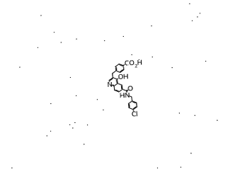 O=C(O)c1ccc(Cc2cnc3ccc(C(=O)NCc4ccc(Cl)cc4)cc3c2O)cc1